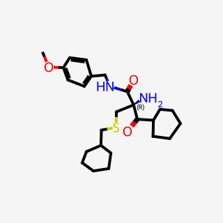 COc1ccc(CNC(=O)[C@@](N)(CSCC2CCCCC2)C(=O)C2CCCCC2)cc1